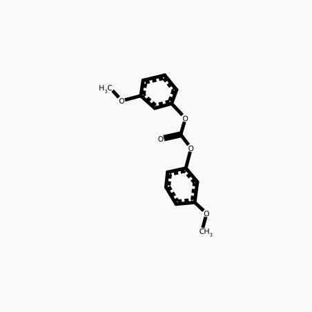 COc1cccc(OC(=O)Oc2cccc(OC)c2)c1